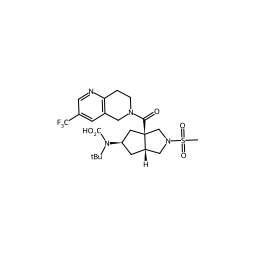 CC(C)(C)N(C(=O)O)[C@@H]1C[C@H]2CN(S(C)(=O)=O)C[C@@]2(C(=O)N2CCc3ncc(C(F)(F)F)cc3C2)C1